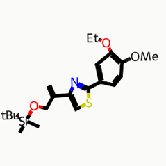 C=C(CO[Si](C)(C)C(C)(C)C)c1csc(-c2ccc(OC)c(OCC)c2)n1